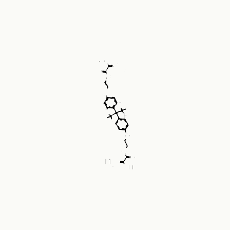 C=C(C)C(=O)OCCOc1ccc(C(c2ccc(OCCOC(=O)C(=C)C)cc2)(C(F)(F)F)C(F)(F)F)cc1